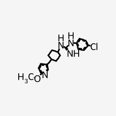 COc1ccc(C2CCC(NC(=N)Nc3ccc(Cl)cc3)CC2)cn1